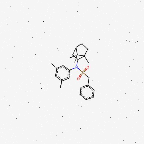 Cc1cc(C)cc(N([C]2CC3CCC2(C)C3(C)C)S(=O)(=O)Cc2ccccc2)c1